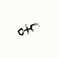 B/C=C(\F)C(F)(F)N1CCCC1